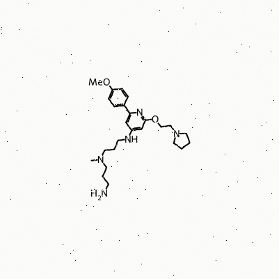 COc1ccc(-c2cc(NCCCN(C)CCCN)cc(OCCN3CCCC3)n2)cc1